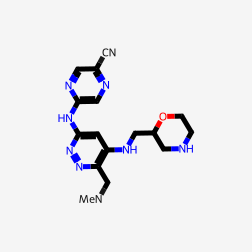 CNCc1nnc(Nc2cnc(C#N)cn2)cc1NCC1CNCCO1